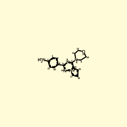 Nc1ccc(-c2nc(N3CCOCC3)c3cccn3n2)cc1